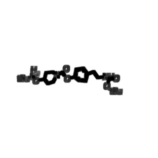 CC(C)(C)OC(=O)NCCc1ccc(OC(=O)N2CCC(O[SiH2]C(C)(C)C)CC2)cc1